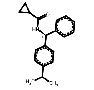 CC(C)c1ccc([C@@H](NC(=O)C2CC2)c2ccccc2)cc1